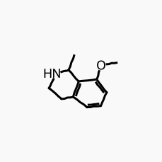 COc1cccc2c1C(C)NCC2